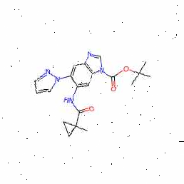 CC(C)(C)OC(=O)n1cnc2cc(-n3cccn3)c(NC(=O)C3(C)CC3)cc21